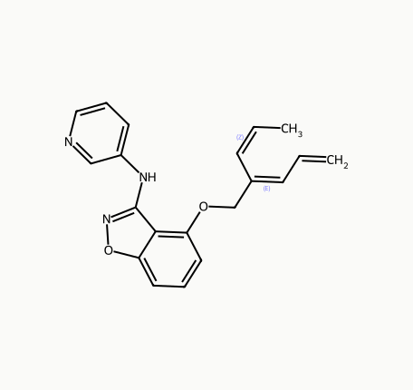 C=C/C=C(\C=C/C)COc1cccc2onc(Nc3cccnc3)c12